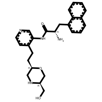 N[C@@H](Cc1cccc2ccccc12)C(=O)Nc1cnccc1CC[C@@H]1CN[C@H](CO)CO1